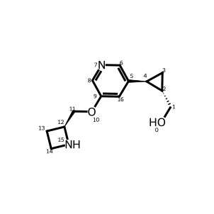 OC[C@H]1C[C@@H]1c1cncc(OC[C@@H]2CCN2)c1